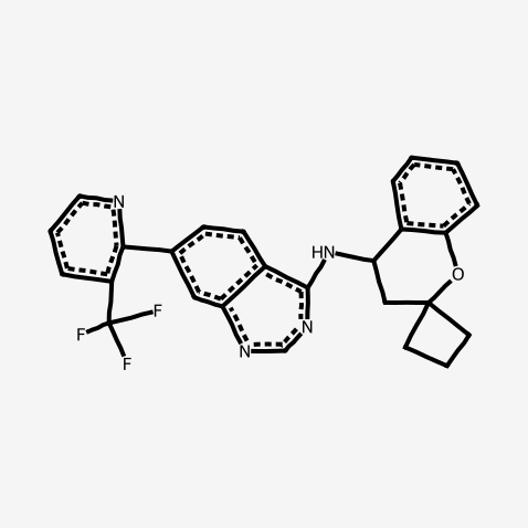 FC(F)(F)c1cccnc1-c1ccc2c(NC3CC4(CCC4)Oc4ccccc43)ncnc2c1